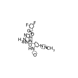 CN1CCN(c2ccc(C(=O)NC(=N)c3cc(S(=O)(=O)Cc4cc(F)cc(F)c4)cnc3N)c(NC3CCOCC3)c2)CC1